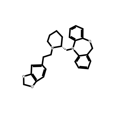 c1ccc2c(c1)COc1ccccc1N2C[C@H]1CCCCN1CCc1ccc2c(c1)OCO2